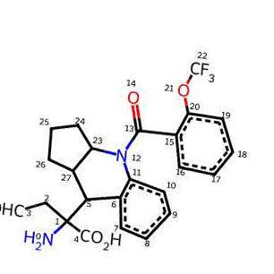 NC(CC=O)(C(=O)O)C1c2ccccc2N(C(=O)c2ccccc2OC(F)(F)F)C2CCCC21